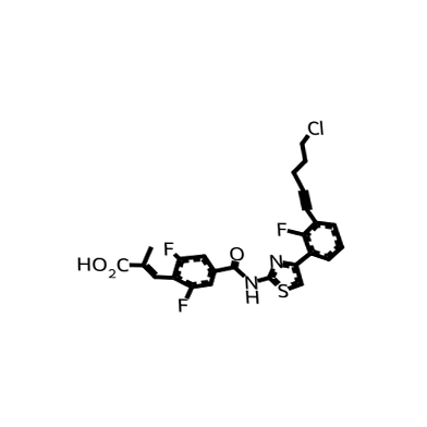 CC(=Cc1c(F)cc(C(=O)Nc2nc(-c3cccc(C#CCCCCl)c3F)cs2)cc1F)C(=O)O